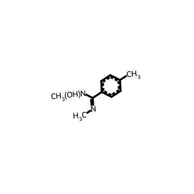 CN=C(c1ccc(C)cc1)N(C)O